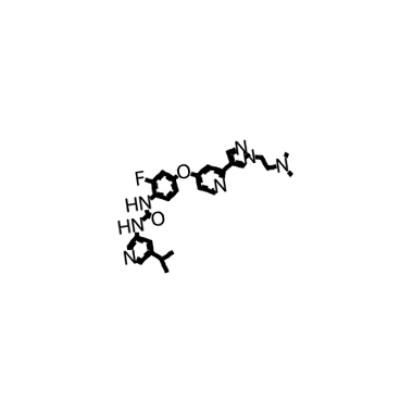 CC(C)c1cncc(NC(=O)Nc2ccc(Oc3ccnc(-c4cnn(CCN(C)C)c4)c3)cc2F)c1